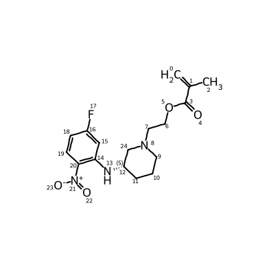 C=C(C)C(=O)OCCN1CCC[C@H](Nc2cc(F)ccc2[N+](=O)[O-])C1